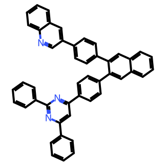 c1ccc(-c2cc(-c3ccc(-c4cc5ccccc5cc4-c4ccc(-c5cnc6ccccc6c5)cc4)cc3)nc(-c3ccccc3)n2)cc1